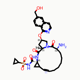 N[C@H]1CCCCC/C=C\C2C[C@@]2(C(=O)NS(=O)(=O)C2CC2)NC(=O)[C@@H]2C[C@@H](Oc3nccc4cc(CO)ccc34)CN2C1=O